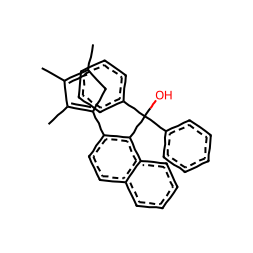 CC1=C(C)C(C)=C(c2ccc3ccccc3c2C(O)(c2ccccc2)c2ccccc2)C1